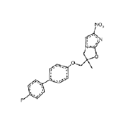 CC1(COc2ccc(-c3ccc(F)cc3)cc2)Cn2cc([N+](=O)[O-])nc2O1